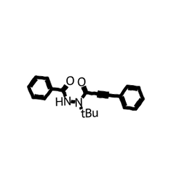 CC(C)(C)N(NC(=O)c1ccccc1)C(=O)C#Cc1ccccc1